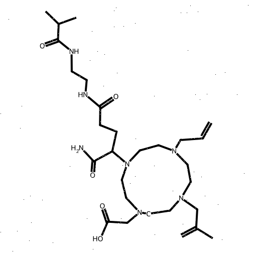 C=CCN1CCN(CC(=C)C)CCN(CC(=O)O)CCN(C(CCC(=O)NCCNC(=O)C(C)C)C(N)=O)CC1